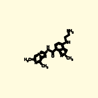 Cc1cn2cc(NC(=O)c3ccc(NCCN)c4cn(C)nc34)nc2c(C)n1